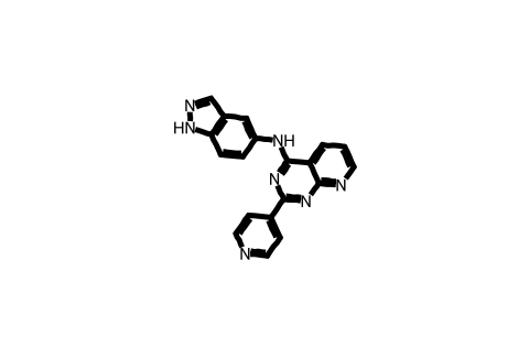 c1cnc2nc(-c3ccncc3)nc(Nc3ccc4[nH]ncc4c3)c2c1